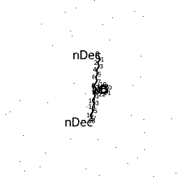 CCCCCCCCCCCCCCCCCCNCCCCCCCCCCCCCCCCCC.c1ccccc1